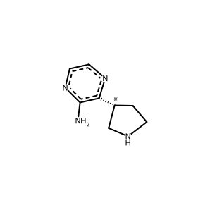 Nc1nccnc1[C@@H]1CCNC1